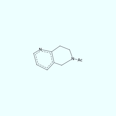 CC(=O)N1CCc2ncccc2C1